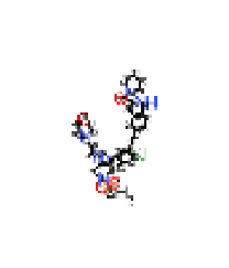 CS(=O)(=O)N1CCc2c(c(-c3ccc(Cl)c(C#Cc4ccc5c(c4)CC(C(=O)N4CCCCC4)NC5)c3)nn2CCCN2CCOCC2)C1